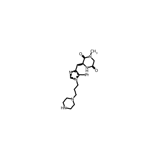 CC(C)c1c(/C=C2\NC(=O)CN(C)C2=O)ncn1CCCN1CCNCC1